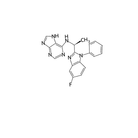 C[C@H](Nc1ncnc2nc[nH]c12)c1nc2cc(F)ccc2n1-c1ccccc1